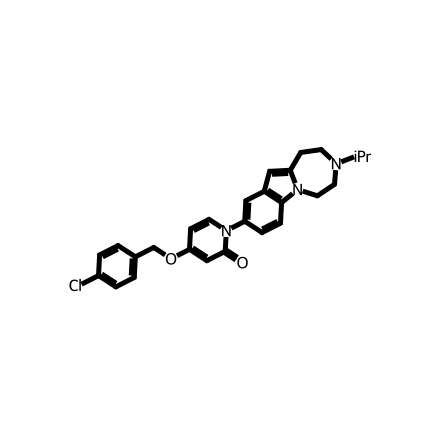 CC(C)N1CCc2cc3cc(-n4ccc(OCc5ccc(Cl)cc5)cc4=O)ccc3n2CC1